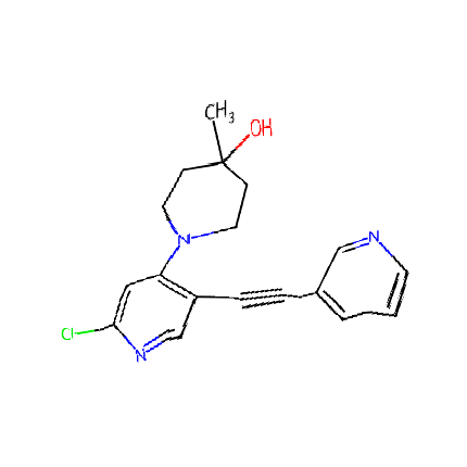 CC1(O)CCN(c2cc(Cl)ncc2C#Cc2cccnc2)CC1